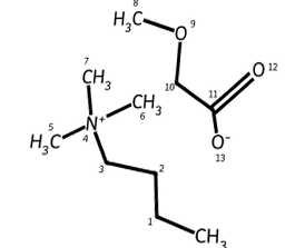 CCCC[N+](C)(C)C.COCC(=O)[O-]